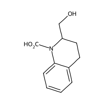 O=C(O)N1c2ccccc2CCC1CO